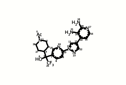 CC(=O)N1CCC(C(O)(c2ccc(-n3cc(-c4ccnc(N)c4N)cn3)nc2)C(F)(F)F)CC1